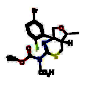 C[C@H]1OC[C@]2(c3cc(Br)ccc3F)N=C(N(C(=O)O)C(=O)OC(C)(C)C)SC[C@H]12